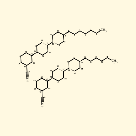 CCCCCCC[C@H]1CC[C@H]([C@H]2CC[C@H](C3CCCC(C#N)C3)CC2)CC1.CCCCCC[C@H]1CC[C@H]([C@H]2CC[C@H](C3CCCC(C#N)C3)CC2)CC1